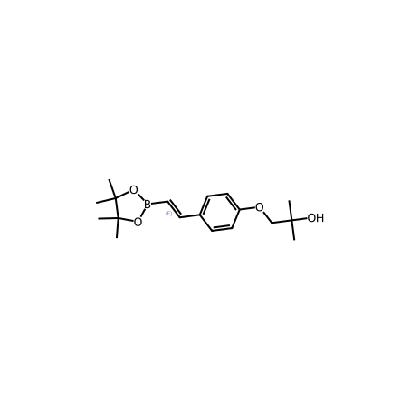 CC(C)(O)COc1ccc(/C=C/B2OC(C)(C)C(C)(C)O2)cc1